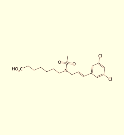 CS(=O)(=O)N(CC=Cc1cc(Cl)cc(Cl)c1)CCCCCCC(=O)O